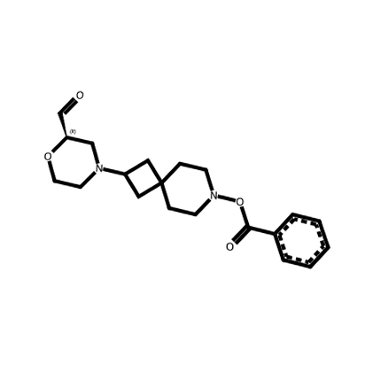 O=C[C@H]1CN(C2CC3(CCN(OC(=O)c4ccccc4)CC3)C2)CCO1